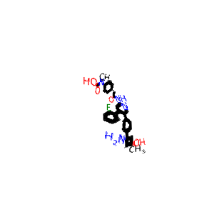 CN(C(=O)O)[C@H]1CC[C@H](CC(=O)Nc2cc(-c3ccccc3F)c(-c3ccc([C@]4(N)C[C@](C)(O)C4)cc3)cn2)CC1